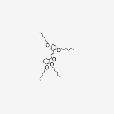 CCCCCCOc1ccc(OCCCCCC)c(C=CC(=O)c2cccc(OCCCCCC)c2OCCCCCC)c1